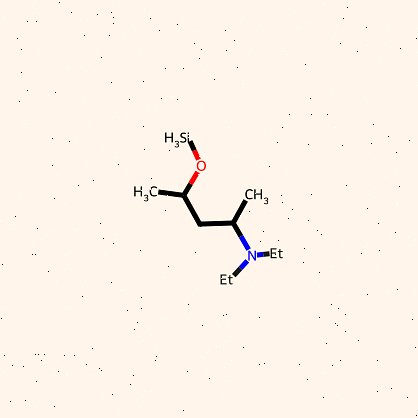 CCN(CC)C(C)CC(C)O[SiH3]